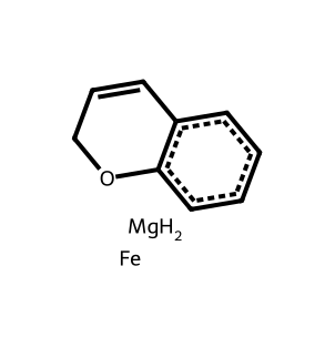 C1=Cc2ccccc2OC1.[Fe].[MgH2]